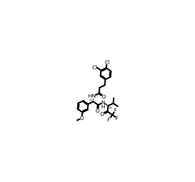 COc1cccc([C@H](NC(=O)CCc2ccc(Cl)c(Cl)c2)C(=O)N[C@H](C(=O)C(F)(F)F)C(C)C)c1